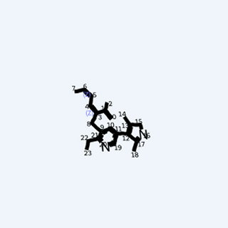 C=C(C)/C(=C\C=C/C)Cc1cc(C2=C(C)CN=C2C)cnc1CC